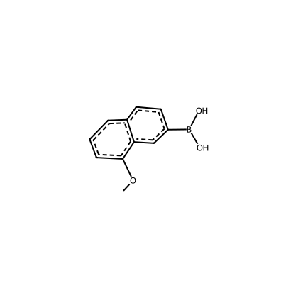 COc1cccc2ccc(B(O)O)cc12